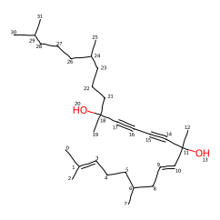 CC(C)=CCCC(C)C/C=C/C(C)(O)C#CC#CC(C)(O)CCCC(C)CCCC(C)C